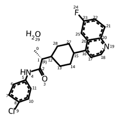 C[C@@H](C(=O)Nc1ccc(Cl)cc1)C1CCC(c2ccnc3ccc(F)cc23)CC1.O